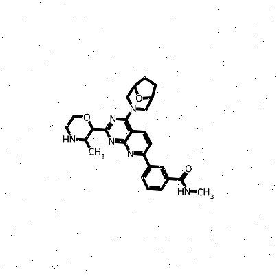 CNC(=O)c1cccc(-c2ccc3c(N4CC5CCC(C4)O5)nc(C4OCCNC4C)nc3n2)c1